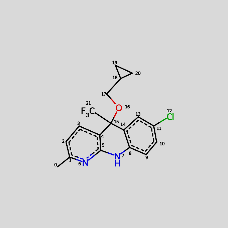 Cc1ccc2c(n1)Nc1ccc(Cl)cc1C2(OCC1CC1)C(F)(F)F